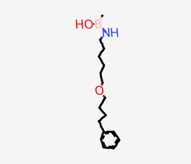 CB(O)NCCCCCCOCCCCc1ccccc1